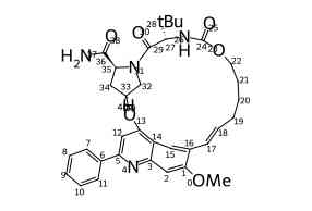 COc1cc2nc(-c3ccccc3)cc3c2cc1/C=C/CCCCOC(=O)N[C@@H](C(C)(C)C)C(=O)N1C[C@@H](C[C@H]1C(N)=O)O3